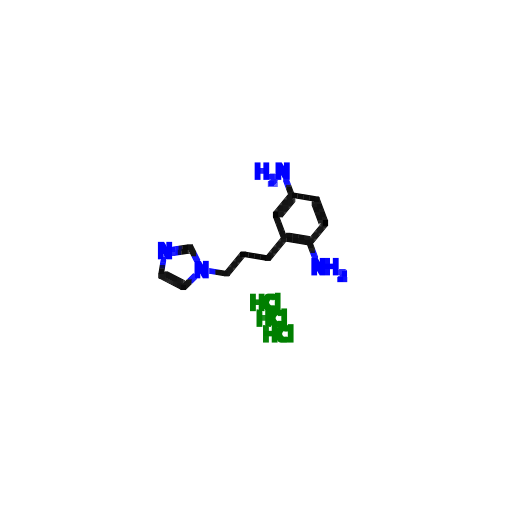 Cl.Cl.Cl.Nc1ccc(N)c(CCCn2ccnc2)c1